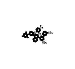 Cc1cc(C)c(-c2ccc3c(c2)c2c4ccccc4c4c5c2n3-c2ccc(N(C)C)cc2B5n2c3ccc(C(C)(C)C)cc3c3cc(C(C)(C)C)cc-4c32)c(C)c1